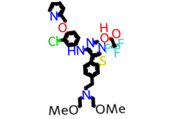 COCCN(CCOC)CCc1ccc2c(c1)sc1ncnc(Nc3ccc(OCc4ccccn4)c(Cl)c3)c12.O=C(O)C(F)(F)F